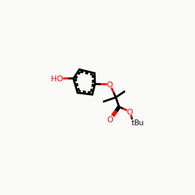 CC(C)(C)OC(=O)C(C)(C)Oc1ccc(O)cc1